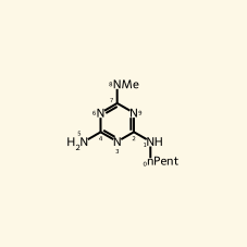 CCCCCNc1nc(N)nc(NC)n1